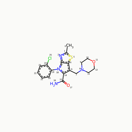 Cc1nc2c(s1)c(CN1CCOCC1)c(C(N)=O)n2-c1ccccc1Cl